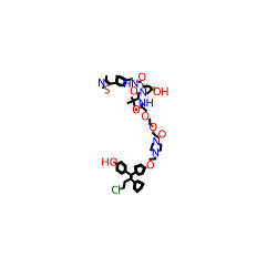 Cc1ncsc1-c1ccc(CNC(=O)[C@@H]2C[C@@H](O)CN2C(=O)C(NC(=O)COCCOCC(=O)N2CCN(CCOc3ccc(C(=C(CCCl)c4ccccc4)c4ccc(O)cc4)cc3)CC2)C(C)(C)C)cc1